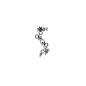 O=C(CCc1ccc(F)cc1C(F)(F)F)N1CCC2CN(C(=O)c3ccc4[nH]nnc4c3)CC2CC1